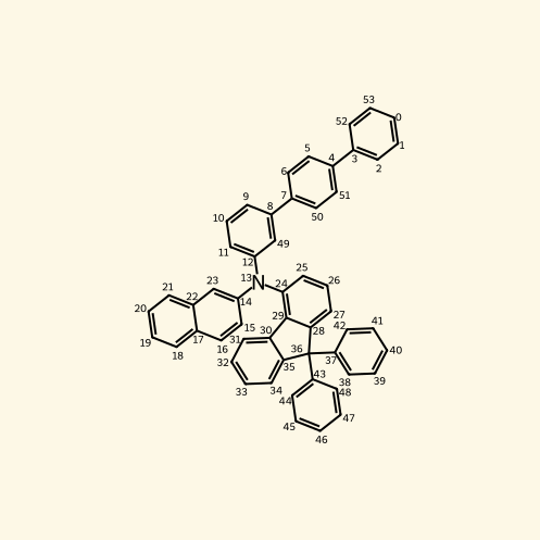 c1ccc(-c2ccc(-c3cccc(N(c4ccc5ccccc5c4)c4cccc5c4-c4ccccc4C5(c4ccccc4)c4ccccc4)c3)cc2)cc1